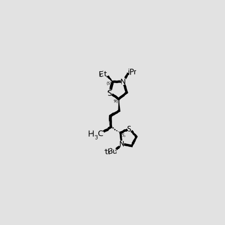 CC[C@@H]1S[C@H](CCC(C)[C@@H]2SCCN2C(C)(C)C)CN1C(C)C